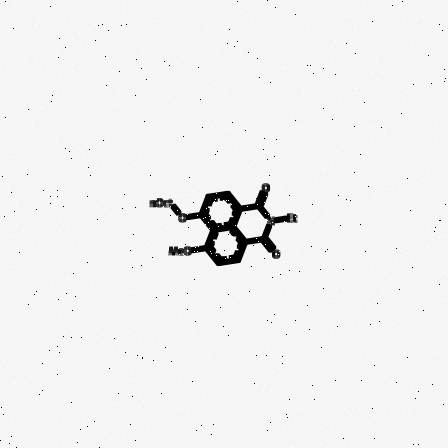 CCCCCCCCOc1ccc2c3c(ccc(OC)c13)C(=O)N(CC)C2=O